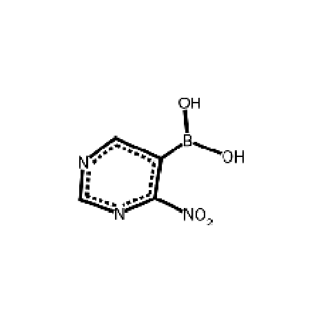 O=[N+]([O-])c1ncncc1B(O)O